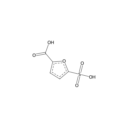 O=C(O)c1ccc(S(=O)(=O)O)o1